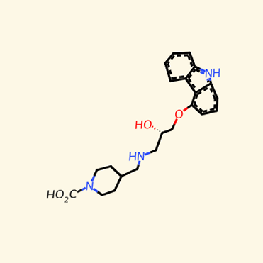 O=C(O)N1CCC(CNC[C@H](O)COc2cccc3[nH]c4ccccc4c23)CC1